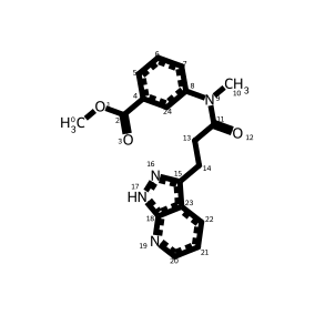 COC(=O)c1cccc(N(C)C(=O)CCc2n[nH]c3ncccc23)c1